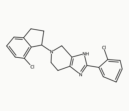 Clc1ccccc1-c1nc2c([nH]1)CN(C1CCc3cccc(Cl)c31)CC2